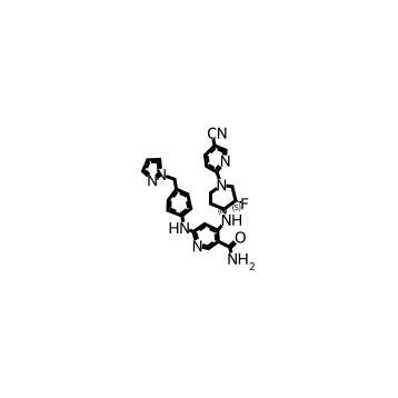 N#Cc1ccc(N2CC[C@@H](Nc3cc(Nc4ccc(Cn5cccn5)cc4)ncc3C(N)=O)[C@@H](F)C2)nc1